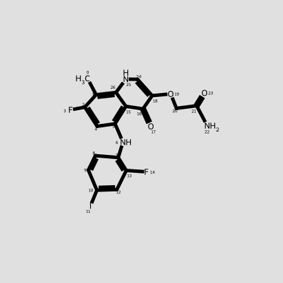 Cc1c(F)cc(Nc2ccc(I)cc2F)c2c(=O)c(OCC(N)=O)c[nH]c12